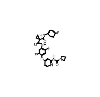 O=C(Nc1cc(Oc2cc(F)c(NC(=O)C3(C(=O)Nc4ccc(F)cc4)CC3)cc2F)ccn1)N1CCC1